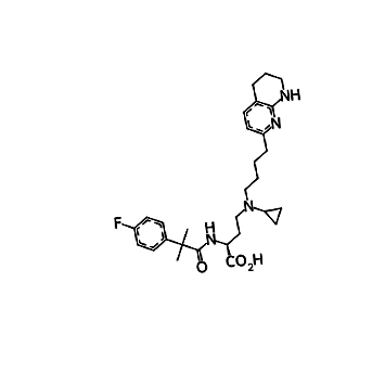 CC(C)(C(=O)N[C@@H](CCN(CCCCc1ccc2c(n1)NCCC2)C1CC1)C(=O)O)c1ccc(F)cc1